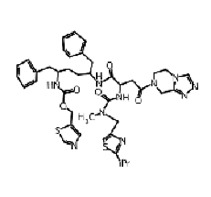 CC(C)c1nc(CN(C)C(=O)NC(CC(=O)N2CCn3cnnc3C2)C(=O)NC(CCC(Cc2ccccc2)NC(=O)OCc2cncs2)Cc2ccccc2)cs1